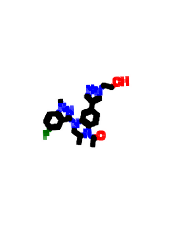 CC(=O)N1c2ccc(-c3cnn(CCO)c3)cc2N(c2nn(C)c3ccc(F)cc23)CC1C